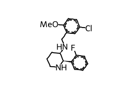 COc1ccc(Cl)cc1CN[C@@H]1CCCN[C@@H]1c1ccccc1F